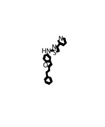 c1ccc(CCc2cc3cc(Nc4nc(-c5cccnc5)cs4)ccc3o2)cc1